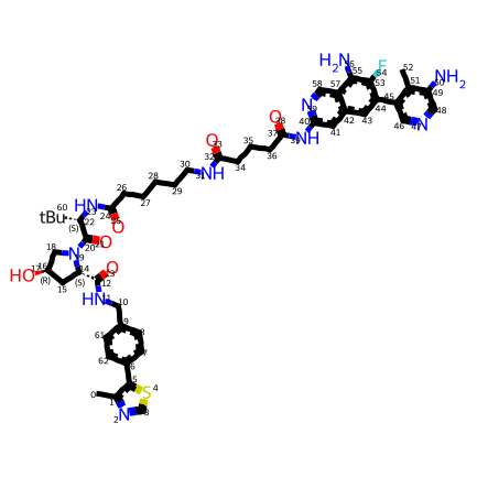 Cc1ncsc1-c1ccc(CNC(=O)[C@@H]2C[C@@H](O)CN2C(=O)[C@@H](NC(=O)CCCCCNC(=O)CCCC(=O)Nc2cc3cc(-c4cncc(N)c4C)c(F)c(N)c3cn2)C(C)(C)C)cc1